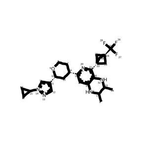 CC1Nc2cc([C@H]3CCO[C@@H](c4cnn(C5CC5)c4)C3)nc([C@]34C[C@@](C(F)(F)F)(C3)C4)c2NC1C